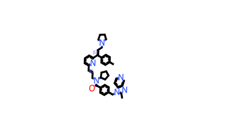 Cc1ccc(/C(=C\CN2CCCC2)c2cccc(/C=C/CN(C(=O)c3ccc(Cn4c(C)nc5cnccc54)cc3)C3CCCC3)n2)cc1